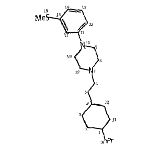 CCCC1CCC(CCN2CCN(c3cccc(SC)c3)CC2)CC1